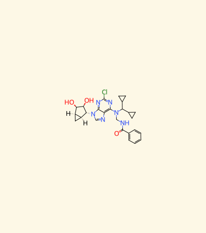 O=C(NCN(c1nc(Cl)nc2c1ncn2[C@H]1[C@H](O)[C@H](O)[C@@H]2C[C@@H]21)C(C1CC1)C1CC1)c1ccccc1